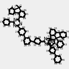 CC1(C)c2ccccc2-c2c(-c3nc(-c4ccccc4)nc(-c4ccc(-c5cccc(-c6ccc(-c7nc(-c8ccc(-c9ccccc9)cc8)nc(-c8cccc9c8C(c8ccccc8)(c8ccccc8)c8ccccc8-9)n7)cc6)c5)cc4)n3)cccc21